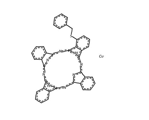 [Cu].c1ccc(CSc2cccc3c4nc5nc(nc6[nH]c(nc7nc(nc([nH]4)c23)-c2ccccc2-7)c2ccccc62)-c2ccccc2-5)cc1